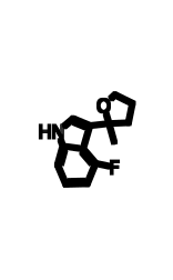 CC1(c2c[nH]c3cccc(F)c23)CCCO1